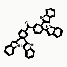 O=C(c1ccc(-c2cc3ccccc3[nH]2)c(-c2cc3ccccc3[nH]2)c1)c1ccc(-c2cc3ccccc3[nH]2)c(-c2cc3ccccc3[nH]2)c1